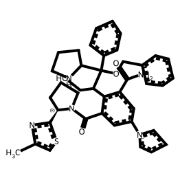 Cc1csc([C@H]2CCCN2C(=O)c2cc(-n3cccc3)cc(C(N)=O)c2C(CO)C(OCc2ccccc2)(c2ccccc2)C2CCCN2)n1